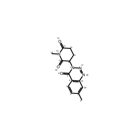 Cc1ccc2c(=O)n(C3CCC(=O)N(C)C3=O)nnc2c1